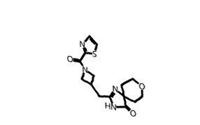 O=C(c1nccs1)N1CC(CC2=NC3(CCOCC3)C(=O)N2)C1